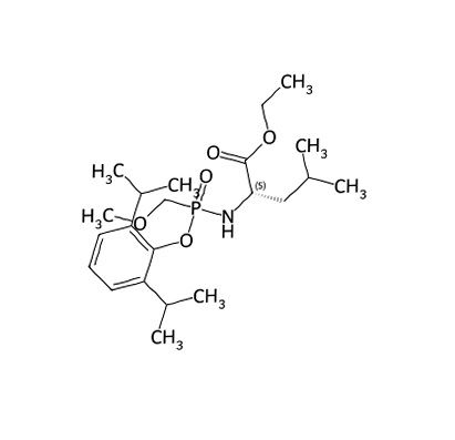 CCOC(=O)[C@H](CC(C)C)NP(=O)(COC)Oc1c(C(C)C)cccc1C(C)C